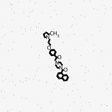 C[C@@H]1CCCN1CCCOc1ccc(C(=O)CN2CCN(C(=O)c3cccc4ccccc34)CC2)cc1